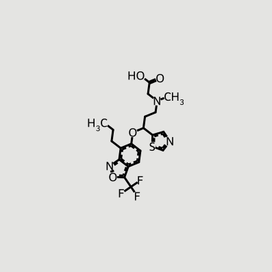 CCCc1c(OC(CCN(C)CC(=O)O)c2cncs2)ccc2c(C(F)(F)F)onc12